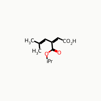 CC(C)=C/C(=C/C(=O)O)C(=O)OC(C)C